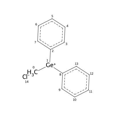 [CH3][Ge+]([c]1ccccc1)[c]1ccccc1.[Cl-]